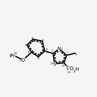 Cc1nc(-c2cccc(OC(C)C)c2)sc1C(=O)O